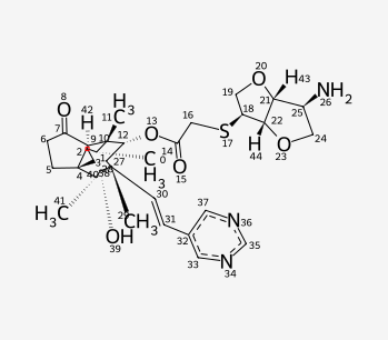 C[C@@H]1CC[C@@]23CCC(=O)[C@H]2[C@]1(C)[C@H](OC(=O)CS[C@H]1CO[C@H]2[C@@H]1OC[C@@H]2N)C[C@](C)(/C=C/c1cncnc1)[C@@H](O)[C@@H]3C